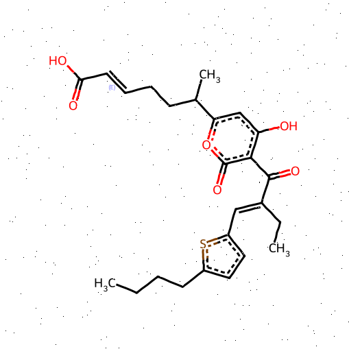 CCCCc1ccc(C=C(CC)C(=O)c2c(O)cc(C(C)CC/C=C/C(=O)O)oc2=O)s1